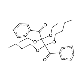 CCCCOC(OCCCC)(C(=O)c1ccccc1)C(OCC)(OCC)C(=O)c1ccccc1